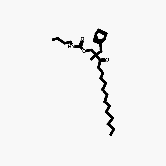 CCCCCCCCCCCCCC(=O)C(C)(COC(=O)NCCCC)CC1CC2C=CC1C2